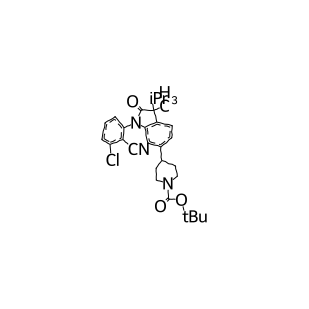 CC(C)C1(C)C(=O)N(c2cccc(Cl)c2C#N)c2cc(C3CCN(C(=O)OC(C)(C)C)CC3)ccc21